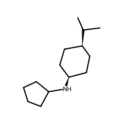 CC(C)[C@H]1CC[C@@H](NC2CCCC2)CC1